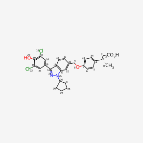 C[C@@H](CC(=O)O)c1ccc(OCc2ccc3c(-c4cc(Cl)c(O)c(Cl)c4)nn(C4CCCC4)c3c2)cc1